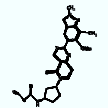 COc1c(-c2ncc3c(=O)n([C@H]4CC[C@@H](NC(=O)OC(C)(C)C)C4)ccc3n2)cc2cn(C)nc2c1C